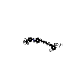 CN(C(=O)OC(C)(C)C)c1ccc(/C=C/c2ccc(OCCOCCOCCc3cc(Br)ccc3S(=O)(=O)O)cc2)cc1